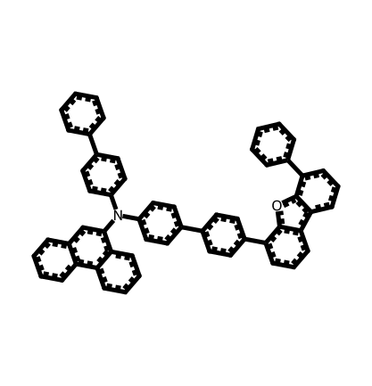 c1ccc(-c2ccc(N(c3ccc(-c4ccc(-c5cccc6c5oc5c(-c7ccccc7)cccc56)cc4)cc3)c3cc4ccccc4c4ccccc34)cc2)cc1